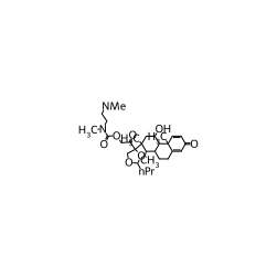 CCCC1OCC(C(=O)COC(=O)N(C)CCNC)(C2(C)CC(O)C3C(CCC4=CC(=O)C=CC43C)C2C)O1